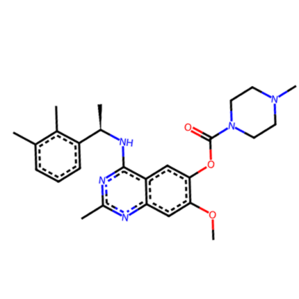 COc1cc2nc(C)nc(N[C@H](C)c3cccc(C)c3C)c2cc1OC(=O)N1CCN(C)CC1